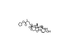 C#C[C@@]1(O)[C@@H]2O[P@](=O)(OCCC(C)C(=O)OC3CCCC3)OCC2O[C@H]1N1C=CC(O)NC1=O